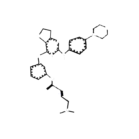 CN(C)C/C=C/C(=O)Nc1cccc(Oc2nc(Nc3ccc(N4CCOCC4)cc3)nc3c2SCC3)c1